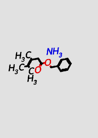 CC(C)=C(C)CC(=O)OCc1ccccc1.N